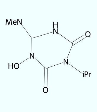 CNC1NC(=O)N(C(C)C)C(=O)N1O